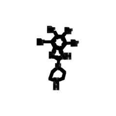 Brc1c(Br)c(Br)c2[nH]c(N3CCNCC3)nc2c1Br